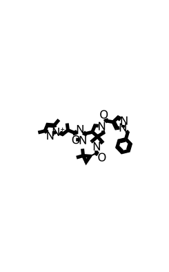 CC1=CC(C)=N/[N+]1=C/C(C)c1nc(C2CN(C(=O)c3cnn(Cc4ccccc4)c3)CC23CN(C(=O)[C@H]2CC2(C)C)C3)no1